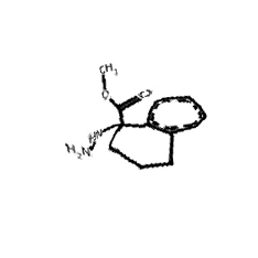 COC(=O)C1(NN)CCCc2ccccc21